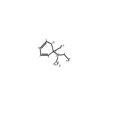 FCP(C(F)(F)F)C1(F)C=CC=CC1